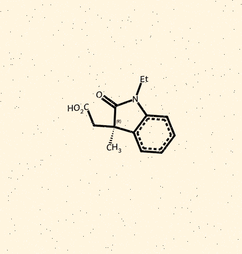 CCN1C(=O)[C@](C)(CC(=O)O)c2ccccc21